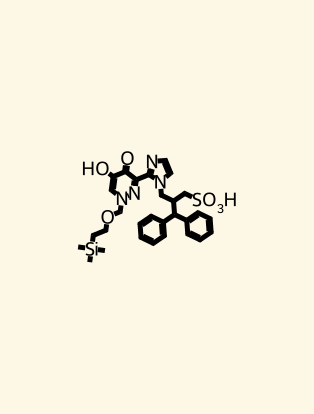 C[Si](C)(C)CCOCn1cc(O)c(=O)c(-c2nccn2CC(CS(=O)(=O)O)C(c2ccccc2)c2ccccc2)n1